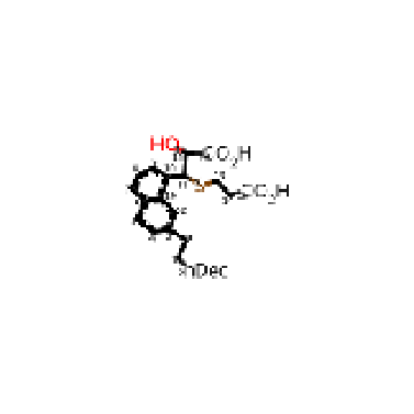 CCCCCCCCCCCCc1ccc2cccc(C(SCCC(=O)O)C(O)C(=O)O)c2c1